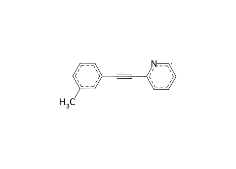 Cc1cccc(C#Cc2ccc[c]n2)c1